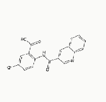 O=C(Nc1ccc(Cl)cc1C(=O)O)c1cnc2ccccc2c1